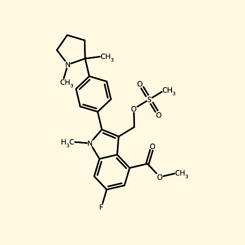 COC(=O)c1cc(F)cc2c1c(COS(C)(=O)=O)c(-c1ccc(C3(C)CCCN3C)cc1)n2C